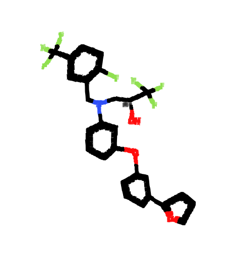 O[C@H](CN(Cc1cc(C(F)(F)F)ccc1F)c1cccc(Oc2cccc(-c3ccco3)c2)c1)C(F)(F)F